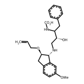 C=CCO[C@@H]1Cc2ccc(OC)cc2[C@H]1NC[C@@H](O)C(Cc1ccccc1)NC(=O)O